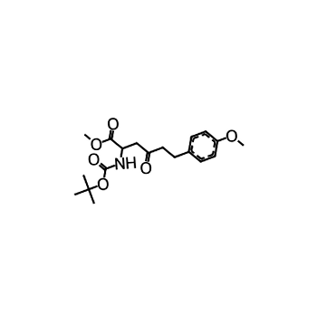 COC(=O)C(CC(=O)CCc1ccc(OC)cc1)NC(=O)OC(C)(C)C